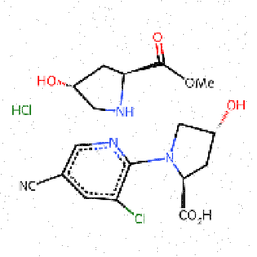 COC(=O)[C@@H]1C[C@@H](O)CN1.Cl.N#Cc1cnc(N2C[C@H](O)C[C@H]2C(=O)O)c(Cl)c1